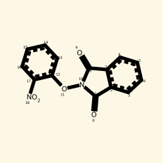 O=C1c2ccccc2C(=O)N1Oc1ccccc1[N+](=O)[O-]